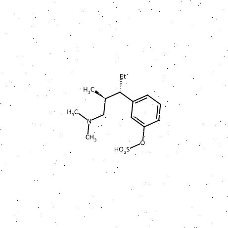 CC[C@H](c1cccc(OS(=O)(=O)O)c1)[C@H](C)CN(C)C